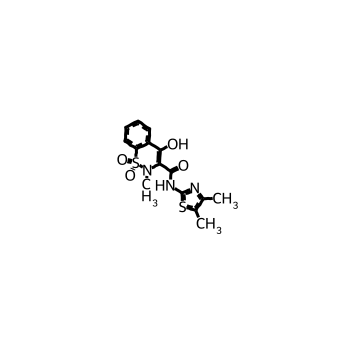 Cc1nc(NC(=O)C2=C(O)c3ccccc3S(=O)(=O)N2C)sc1C